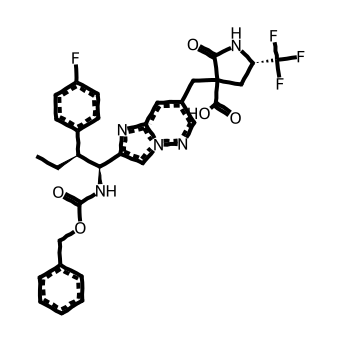 CC[C@@H](c1ccc(F)cc1)[C@H](NC(=O)OCc1ccccc1)c1cn2ncc(CC3(C(=O)O)C[C@@H](C(F)(F)F)NC3=O)cc2n1